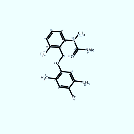 CCc1cc(C)c(OCc2c(N(C)C(=O)NC)cccc2C(F)(F)F)cc1C